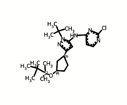 CC(C)(C)n1nc([C@H]2CC[C@@H](O[Si](C)(C)C(C)(C)C)C2)cc1Nc1ccnc(Cl)n1